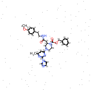 COc1ccc(CCNC(=O)CC2CN(c3cc(C)nc(-n4ccnc4)n3)CCN2C(=O)OCc2ccccc2)cc1